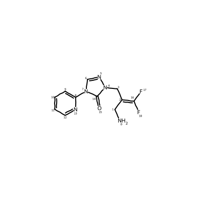 NCC(Cn1ncn(-c2ccccn2)c1=O)=C(F)F